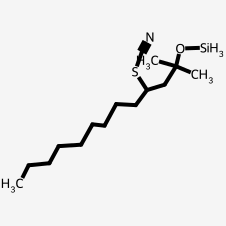 CCCCCCCCCC(CC(C)(C)O[SiH3])SC#N